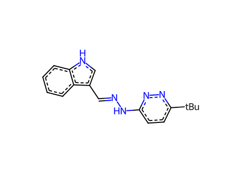 CC(C)(C)c1ccc(NN=Cc2c[nH]c3ccccc23)nn1